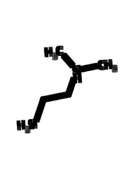 C[SiH](C)CC[SiH3]